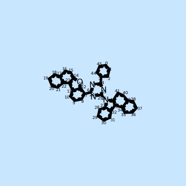 c1ccc(-c2nc(-c3cccc4c3oc3ccc5ccccc5c34)nc(-n3c4ccccc4c4c5ccccc5ccc43)n2)cc1